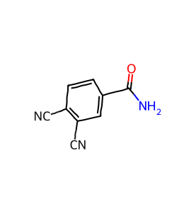 N#Cc1ccc(C(N)=O)cc1C#N